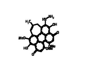 COc1c(O)c2c(=O)cc(OC)c3c4c(OC)cc(=O)c5c(O)c(NN)c6c(c(c1C=C(C)C6)c23)c54